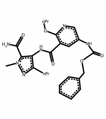 CCCOc1ncc(NC(=O)OCc2ccccc2)cc1C(=O)Nc1c(CCC)nn(C)c1C(N)=O